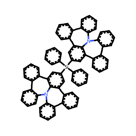 c1ccc([Si](c2ccccc2)(c2cc3c4c(c2)-c2ccccc2-c2ccccc2N4c2ccccc2-c2ccccc2-3)c2cc3c4c(c2)-c2ccccc2-c2ccccc2N4c2ccccc2-c2ccccc2-3)cc1